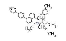 CCCCC(CC)C(/C(C)=C(/CCC)C(C)c1cccc2c(-c3ccc(-c4ccncc4)cc3)cccc12)c1ccc2cc(C)ccc2c1